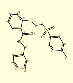 Cc1ccc(S(=O)(=O)CCSc2ncccc2C(=O)NCc2cccnc2)cc1